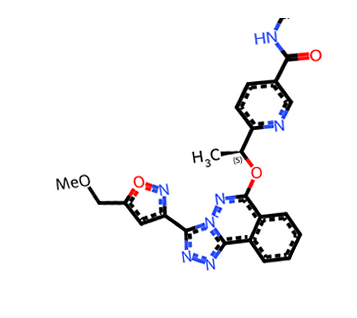 COCc1cc(-c2nnc3c4ccccc4c(O[C@@H](C)c4ccc(C(=O)NC(C)C)cn4)nn23)no1